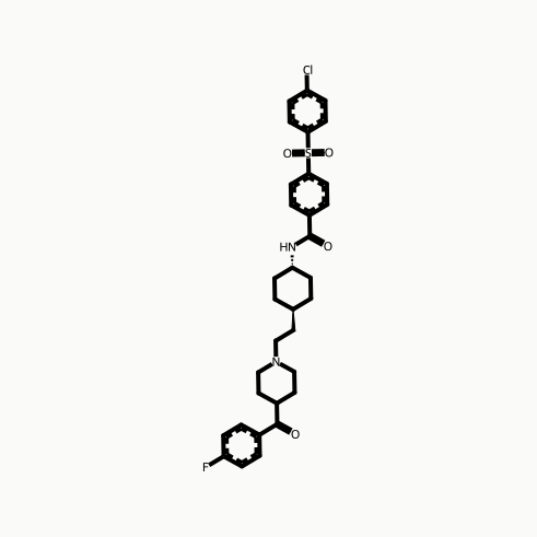 O=C(N[C@H]1CC[C@H](CCN2CCC(C(=O)c3ccc(F)cc3)CC2)CC1)c1ccc(S(=O)(=O)c2ccc(Cl)cc2)cc1